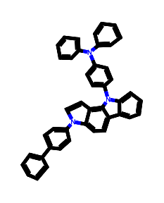 c1ccc(-c2ccc(-n3ccc4c3ccc3c5ccccc5n(-c5ccc(N(c6ccccc6)c6ccccc6)cc5)c34)cc2)cc1